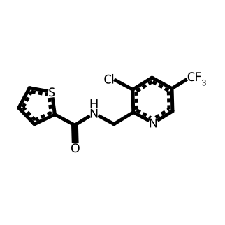 O=C(NCc1ncc(C(F)(F)F)cc1Cl)c1cccs1